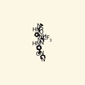 CN1CCC(N(C)C(=O)c2ccc(Nc3ncc(C(F)(F)F)c(N[C@@H]4CCC[C@@H]4C(=O)Nc4nccs4)n3)cc2)CC1